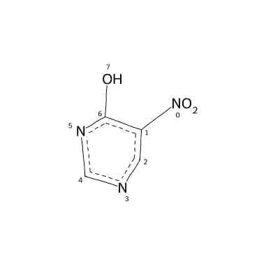 O=[N+]([O-])c1cncnc1O